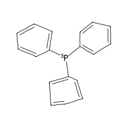 c1ccc([3P](c2ccccc2)c2ccccc2)cc1